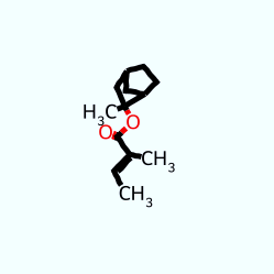 C/C=C(\C)C(=O)OC1(C)CC2CCC1C2